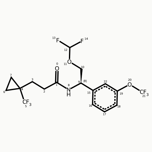 O=C(CCC1(C(F)(F)F)CC1)N[C@@H](COC(F)F)c1cccc(OC(F)(F)F)c1